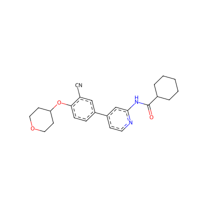 N#Cc1cc(-c2ccnc(NC(=O)C3CCCCC3)c2)ccc1OC1CCOCC1